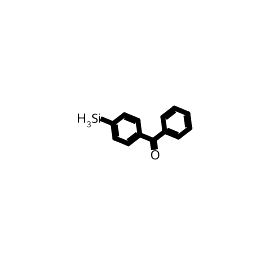 O=C(c1ccccc1)c1ccc([SiH3])cc1